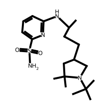 CC(CCC1CN(C(C)(C)C)C(C)(C)C1)Nc1cccc(S(N)(=O)=O)n1